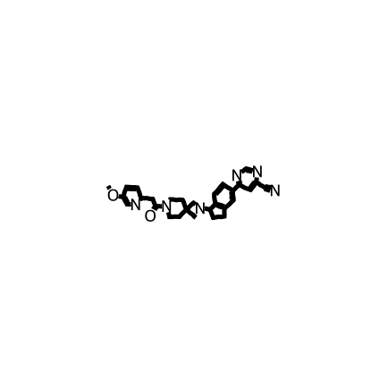 COc1ccc(CC(=O)N2CCC3(CC2)CN(C2CCc4cc(-c5cc(C#N)ncn5)ccc42)C3)nc1